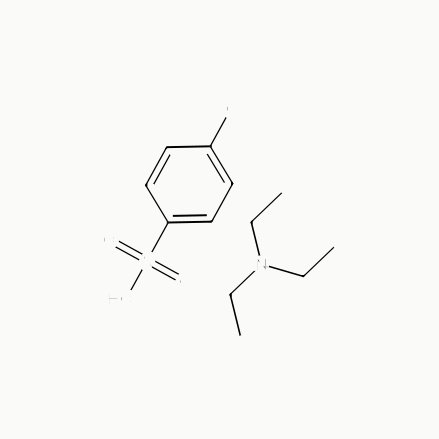 CCN(CC)CC.O=S(=O)(O)c1ccc(Cl)cc1